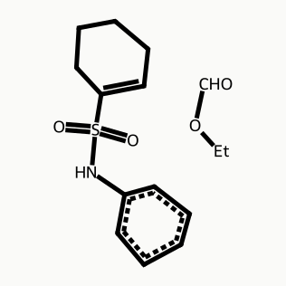 CCOC=O.O=S(=O)(Nc1ccccc1)C1=CCCCC1